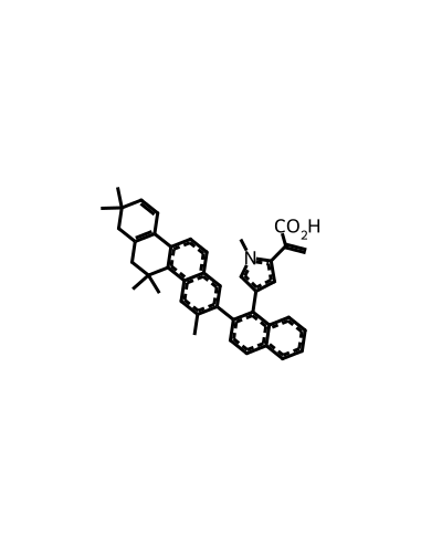 C=C(C(=O)O)c1cc(-c2c(-c3cc4ccc5c(c4cc3C)C(C)(C)CC3=C5C=CC(C)(C)C3)ccc3ccccc23)cn1C